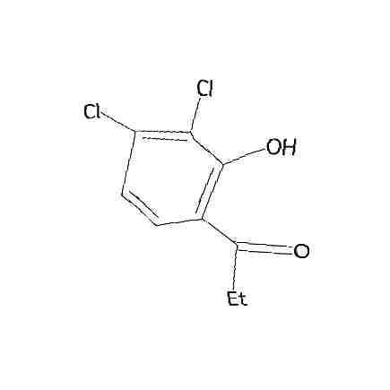 CCC(=O)c1ccc(Cl)c(Cl)c1O